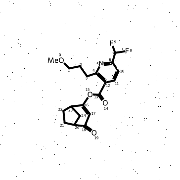 COCCCc1nc(C(F)F)ccc1C(=O)OC1=CC(=O)C2CCC1C2